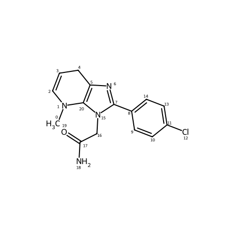 CN1C=CCc2nc(-c3ccc(Cl)cc3)n(CC(N)=O)c21